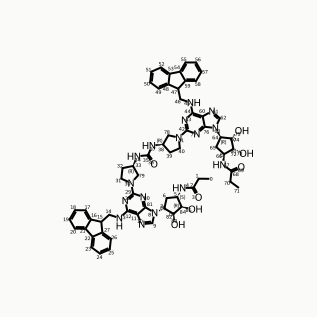 CCC(=O)N[C@H]1C[C@@H](n2cnc3c(NCC4c5ccccc5-c5ccccc54)nc(N4CC[C@@H](NC(=O)N[C@@H]5CCN(c6nc(NCC7c8ccccc8-c8ccccc87)c7ncn([C@@H]8C[C@H](NC(=O)CC)[C@@H](O)[C@H]8O)c7n6)C5)C4)nc32)[C@H](O)[C@@H]1O